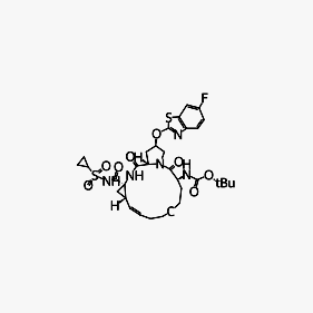 CC(C)(C)OC(=O)N[C@H]1CCCCC/C=C\[C@@H]2C[C@@]2(C(=O)NS(=O)(=O)C2CC2)NC(=O)[C@@H]2C[C@@H](Oc3nc4ccc(F)cc4s3)CN2C1=O